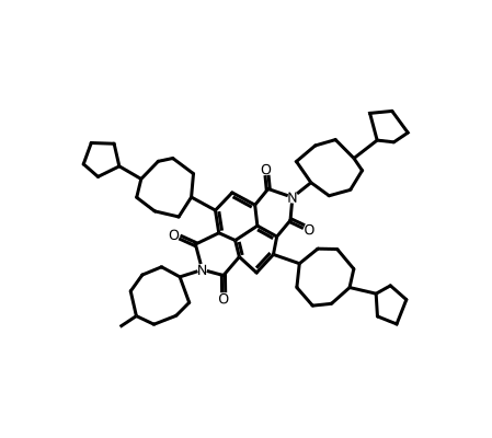 CC1CCCC(N2C(=O)c3cc(C4CCCC(C5CCCC5)CCC4)c4c5c(cc(C6CCCC(C7CCCC7)CCC6)c(c35)C2=O)C(=O)N(C2CCCC(C3CCCC3)CCC2)C4=O)CCC1